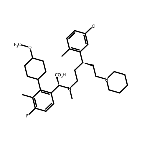 Cc1ccc(Cl)cc1[C@@H](CCN1CCCCC1)CCN(C)[C@H](C(=O)O)c1ccc(F)c(C)c1C1CCC(OC(F)(F)F)CC1